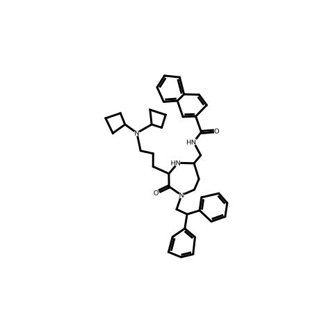 O=C(NCC1CCN(CC(c2ccccc2)c2ccccc2)C(=O)C(CCCN(C2CCC2)C2CCC2)N1)c1ccc2ccccc2c1